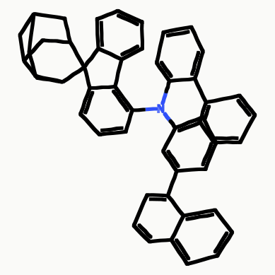 c1ccc(-c2ccccc2N(c2cccc(-c3cccc4ccccc34)c2)c2cccc3c2-c2ccccc2C32C3CCC4CC(C3)CC2C4)cc1